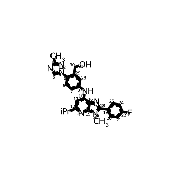 Cc1ncn(-c2ccc(Nc3cc(C(C)C)nc4c3nc(-c3ccc(F)cc3)n4C)cc2CO)n1